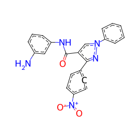 Nc1cccc(NC(=O)c2cn(-c3ccccc3)nc2-c2ccc([N+](=O)[O-])cc2)c1